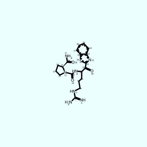 N=C(N)NCCCC(NC(=O)N1CCC[C@H]1C(N)=O)C(=O)c1nc2ccccc2s1